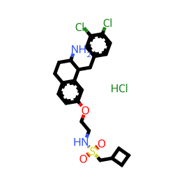 Cl.NC1CCc2ccc(OCCNS(=O)(=O)CC3CCC3)cc2C1Cc1ccc(Cl)c(Cl)c1